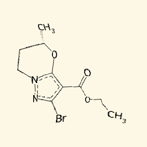 CCOC(=O)c1c(Br)nn2c1O[C@@H](C)CC2